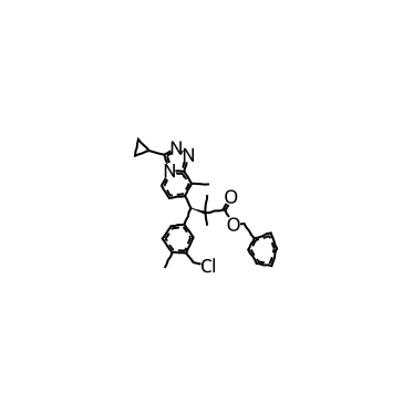 Cc1ccc([C@@H](c2ccn3c(C4CC4)nnc3c2C)C(C)(C)C(=O)OCc2ccccc2)cc1CCl